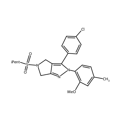 CCCC(C)S(=O)(=O)N1Cc2nn(-c3ccc(C)cc3OC)c(-c3ccc(Cl)cc3)c2C1